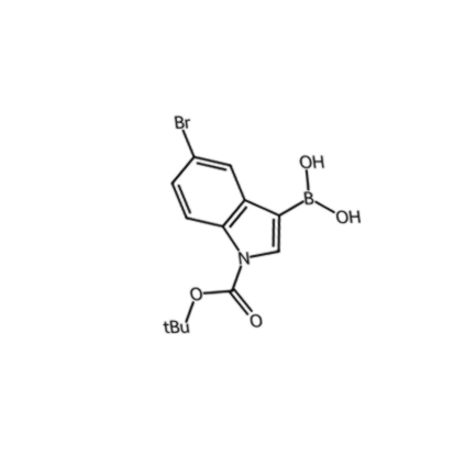 CC(C)(C)OC(=O)n1cc(B(O)O)c2cc(Br)ccc21